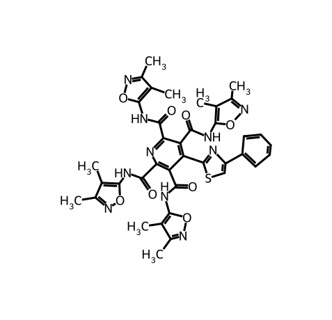 Cc1noc(NC(=O)c2nc(C(=O)Nc3onc(C)c3C)c(C(=O)Nc3onc(C)c3C)c(-c3nc(-c4ccccc4)cs3)c2C(=O)Nc2onc(C)c2C)c1C